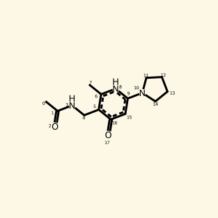 CC(=O)NCc1c(C)[nH]c(N2CCCC2)cc1=O